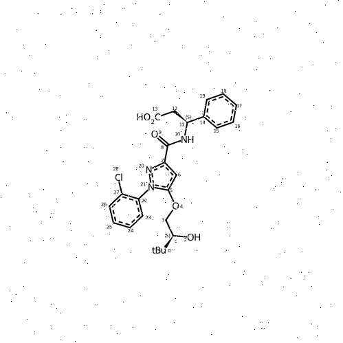 CC(C)(C)[C@H](O)COc1cc(C(=O)N[C@@H](CC(=O)O)c2ccccc2)nn1-c1ccccc1Cl